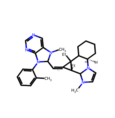 CCC12/C(=C\C3N(C)c4cncnc4N3c3ccccc3C)C1(CC)C1N(C)C=CN1[C@@H]1CCCCC12